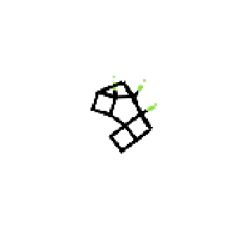 FC12C3CC1C14CCC1C1C3C2(F)C14F